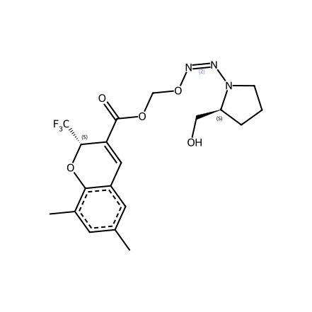 Cc1cc(C)c2c(c1)C=C(C(=O)OCO/N=N\N1CCC[C@H]1CO)[C@@H](C(F)(F)F)O2